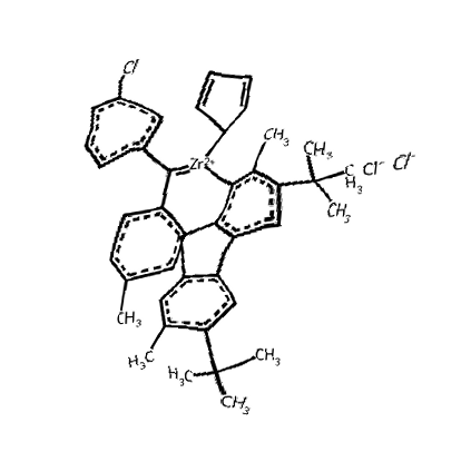 Cc1ccc([C](c2cccc(Cl)c2)=[Zr+2]([c]2c(C)c(C(C)(C)C)cc3c2Cc2cc(C)c(C(C)(C)C)cc2-3)[CH]2C=CC=C2)cc1.[Cl-].[Cl-]